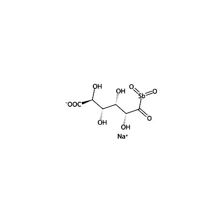 O=C([O-])[C@@H](O)[C@@H](O)[C@H](O)[C@@H](O)[C](=O)[Sb](=[O])=[O].[Na+]